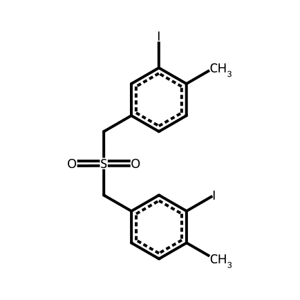 Cc1ccc(CS(=O)(=O)Cc2ccc(C)c(I)c2)cc1I